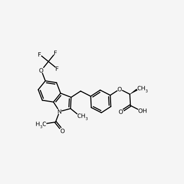 CC(=O)n1c(C)c(Cc2cccc(O[C@@H](C)C(=O)O)c2)c2cc(OC(F)(F)F)ccc21